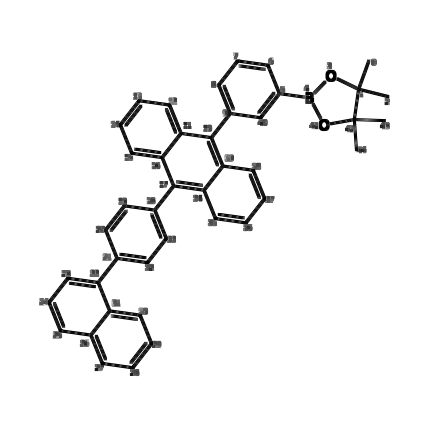 CC1(C)OB(c2cccc(-c3c4ccccc4c(-c4ccc(-c5cccc6ccccc56)cc4)c4ccccc34)c2)OC1(C)C